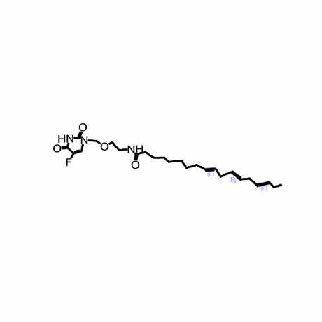 CC/C=C/C/C=C/C/C=C/CCCCCCCC(=O)NCCOCn1cc(F)c(=O)[nH]c1=O